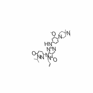 C=CCn1c(=O)c2cnc(Nc3ccc(N4CCC(C)(N(C)C)CC4)c(OC)c3)nc2n1-c1ccc(=O)n(C(C)C)n1